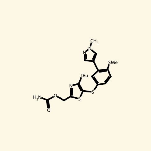 CSc1ccc(Sc2sc(COC(N)=O)nc2C(C)(C)C)cc1-c1cnn(C)c1